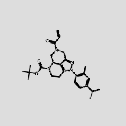 C=CC(=O)N1Cc2nn(-c3ccc(C(C)C)cc3C)c3c2C(C1)N(C(=O)OC(C)(C)C)CC3